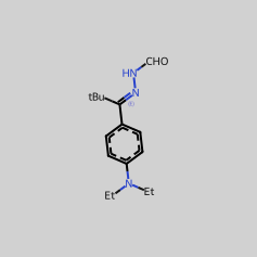 CCN(CC)c1ccc(/C(=N/NC=O)C(C)(C)C)cc1